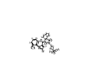 Cc1cc2ccnn2c(C(=O)NC2CS(O)(O)C2)c1NC(=O)c1cc(Br)nn1-c1ncccc1Cl